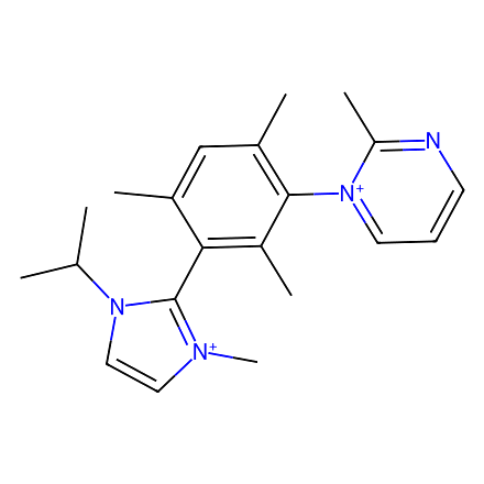 Cc1cc(C)c(-[n+]2cccnc2C)c(C)c1-c1n(C(C)C)cc[n+]1C